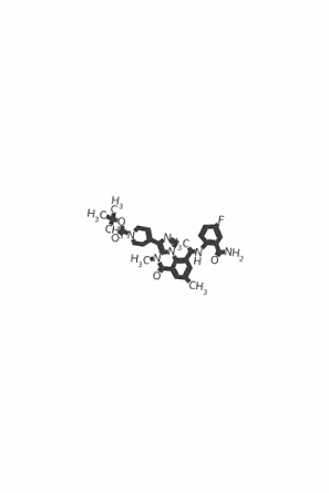 Cc1cc(C(C)Nc2ccc(F)cc2C(N)=O)c2c(c1)c(=O)n(C)c1c(C3=CCN(C(=O)OC(C)(C)C)CC3)ncn21